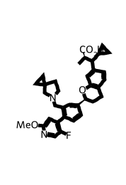 COc1cc(-c2ccc([C@@H]3CCc4ccc(C(C5CC5)[C@H](C)C(=O)O)cc4O3)cc2CN2CCC3(CC3)C2)c(F)cn1